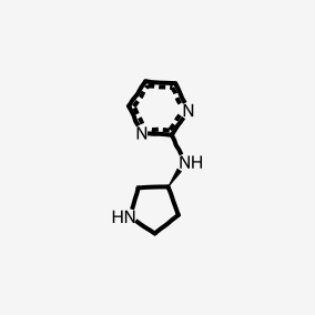 c1cnc(N[C@H]2CCNC2)nc1